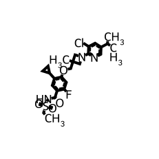 CCS(=O)(=O)NC(=O)c1cc(C2CC2)c(OCC2(C)CN(c3ncc(C(C)C)cc3Cl)C2)cc1F